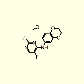 C[O].Fc1cnc(Cl)nc1Nc1ccc2c(c1)OCCO2